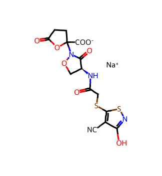 N#Cc1c(O)nsc1SCC(=O)N[C@H]1CON(C2(C(=O)[O-])CCC(=O)O2)C1=O.[Na+]